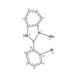 CCCCN1c2ccccc2NC1c1ccccc1Br